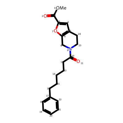 COC(=O)c1cc2c(o1)CN(C(=O)CCCCCc1ccccc1)CC2